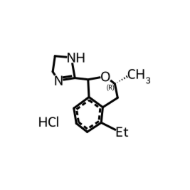 CCc1cccc2c1C[C@@H](C)OC2C1=NCCN1.Cl